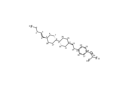 FCCC=C[C@H]1CC[C@H]([C@H]2CC[C@H](CCc3ccc(OC(F)F)cc3)CC2)CC1